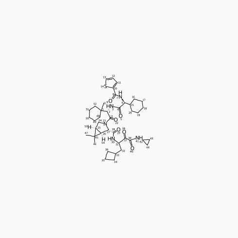 CC1([C@H](NC(=O)[C@@H](NC(=O)c2cccs2)C2CCCCC2)C(=O)N2C[C@H]3[C@@H]([C@H]2C(=O)NC(CC2CCC2)C(=O)C(=O)NC2CC2)C3(C)C)CCCCC1